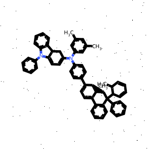 Cc1cc(C)cc(N(C2=CC=C3C(C2)c2ccccc2N3c2ccccc2)c2ccc(C3=CC=C4c5ccccc5C(c5ccccc5)(C5C=CC=CC5C)C5=C3[C@]45C)cc2)c1